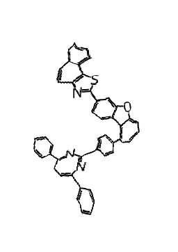 C1=C(c2ccccc2)N=C(c2ccc(-c3cccc4oc5cc(-c6nc7ccc8ccccc8c7s6)ccc5c34)cc2)N=C(c2ccccc2)C1